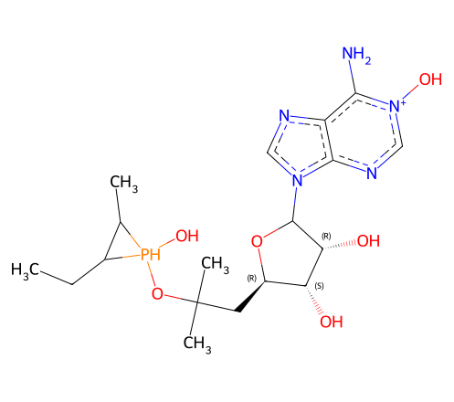 CCC1C(C)[PH]1(O)OC(C)(C)C[C@H]1OC(n2cnc3c(N)[n+](O)cnc32)[C@H](O)[C@@H]1O